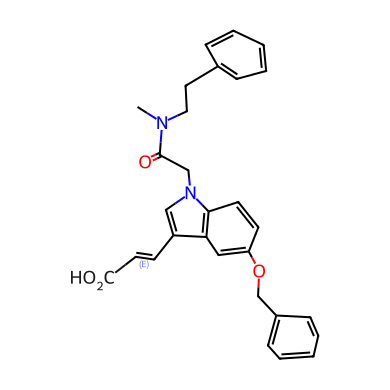 CN(CCc1ccccc1)C(=O)Cn1cc(/C=C/C(=O)O)c2cc(OCc3ccccc3)ccc21